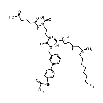 CCCCCCCC[C@H](C)CNCC[C@H](C)C(=O)N[C@H](Cc1cccc(-c2ccc(NC(C)=O)cc2)c1)C(=O)NCC[C@@H](NC(=O)CCCC(=O)O)C(=O)O